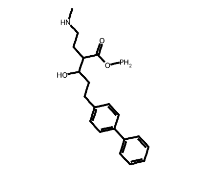 CNCCC(C(=O)OP)C(O)CCc1ccc(-c2ccccc2)cc1